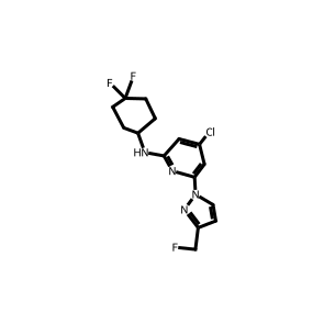 FCc1ccn(-c2cc(Cl)cc(NC3CCC(F)(F)CC3)n2)n1